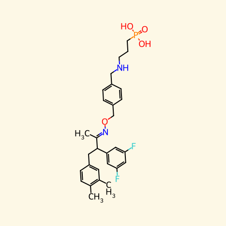 C/C(=N\OCc1ccc(CNCCCP(=O)(O)O)cc1)C(Cc1ccc(C)c(C)c1)c1cc(F)cc(F)c1